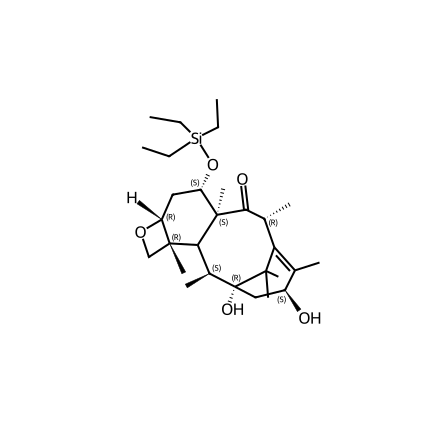 CC[Si](CC)(CC)O[C@H]1C[C@H]2OC[C@@]2(C)C2[C@H](C)[C@]3(O)C[C@H](O)C(C)=C([C@@H](C)C(=O)[C@@]21C)C3(C)C